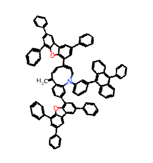 C=C1/C=C\C(c2cc(-c3ccccc3)cc3c2oc2c(-c4ccccc4)cc(-c4ccccc4)cc23)=C/CN(c2cccc(-c3c4ccccc4c(-c4ccccc4)c4ccccc34)c2)c2cc(-c3cc(-c4ccccc4)cc4c3oc3c(-c5ccccc5)cc(-c5ccccc5)cc34)ccc21